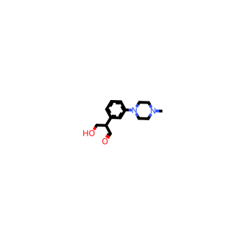 CN1CCN(c2cccc(C(C=O)CO)c2)CC1